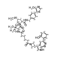 C=N[C@@H]1C[C@@H](C(=O)NCc2ccc(-c3scnc3C)cc2)N(C(=O)[C@@H](NC(=O)CCCCC(=O)N2CC(c3c[nH]c4nnc(-c5ccccc5O)cc34)C2)C(C)(C)C)C1